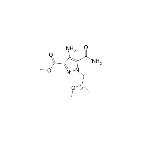 COC(=O)c1nn(C[C@H](C)OC)c(C(N)=O)c1N